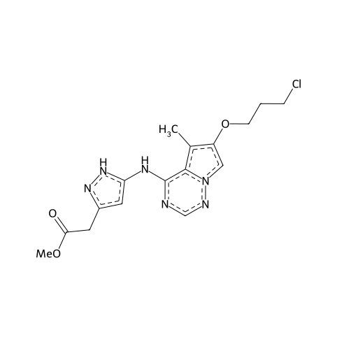 COC(=O)Cc1cc(Nc2ncnn3cc(OCCCCl)c(C)c23)[nH]n1